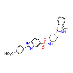 C[C@@H](NC(=O)[C@H]1CC[C@H](NS(=O)(=O)c2ccc3[nH]c(-c4ccc(C(=O)O)cc4)nc3c2)CC1)c1ccccc1